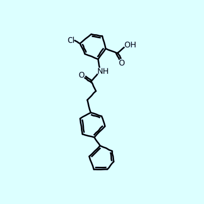 O=C(CCc1ccc(-c2ccccc2)cc1)Nc1cc(Cl)ccc1C(=O)O